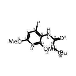 COc1cc(I)c(NC(=O)OC(C)(C)C)c(OC)n1